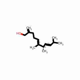 C=C(CO)CC/C=C(\C)[C@@H](C)/C=C/C(C)C